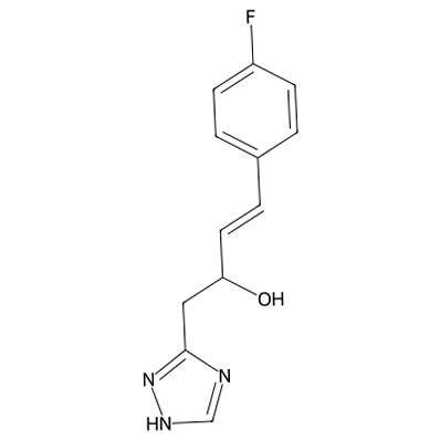 OC(C=Cc1ccc(F)cc1)Cc1nc[nH]n1